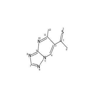 CC(=S)c1cn2ncnc2nc1C